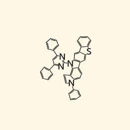 c1ccc(-c2cc(-c3ccccc3)nc(-n3c4cc5c(cc4c4ccc6c(ccn6-c6ccccc6)c43)sc3ccccc35)n2)cc1